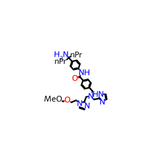 CCCC(N)(CCC)c1ccc(NC(=O)c2ccc(CN(Cc3ncc[nH]3)Cc3nccn3CCOCOC)cc2)cc1